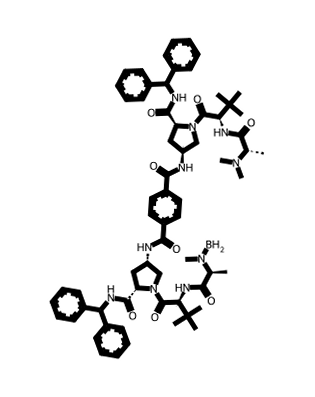 BN(C)[C@@H](C)C(=O)N[C@H](C(=O)N1C[C@@H](NC(=O)c2ccc(C(=O)N[C@H]3C[C@@H](C(=O)NC(c4ccccc4)c4ccccc4)N(C(=O)[C@@H](NC(=O)[C@H](C)N(C)C)C(C)(C)C)C3)cc2)C[C@H]1C(=O)NC(c1ccccc1)c1ccccc1)C(C)(C)C